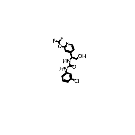 O=C(Nc1cccc(Cl)c1)NC(CO)c1ccnc(OC(F)F)c1